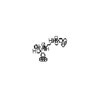 O=C(CCCCCNS(=O)(=O)c1ccc2c(c1)OCCO2)N[C@H](CN1CCCC1)[C@H](O)c1ccc2c(c1)OCCO2